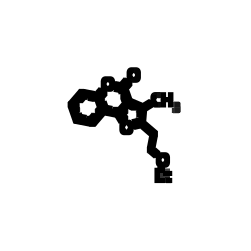 CCOCCc1oc2c(c1C)c(=O)oc1ccccc12